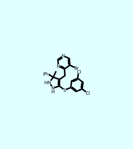 CC(C)C1(C)NNC(Sc2cc(Cl)cc(Cl)c2)=C1Cc1ncncc1Br